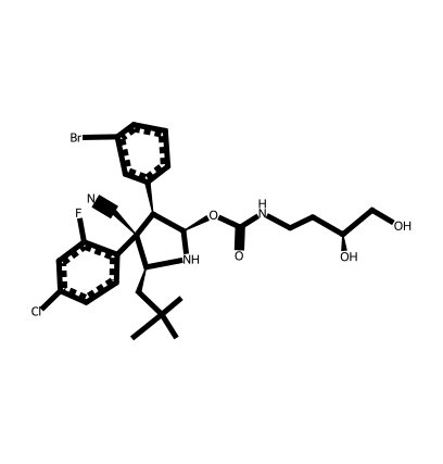 CC(C)(C)C[C@@H]1N[C@H](OC(=O)NCC[C@H](O)CO)[C@H](c2cccc(Br)c2)[C@@]1(C#N)c1ccc(Cl)cc1F